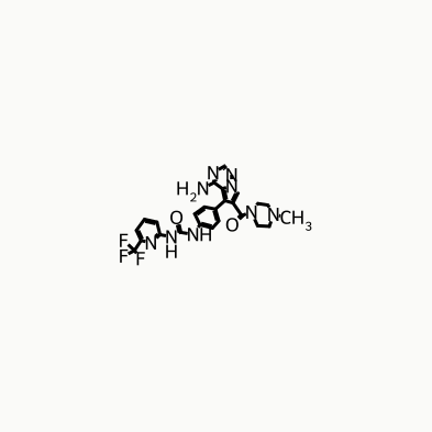 CN1CCN(C(=O)c2cn3ncnc(N)c3c2-c2ccc(NC(=O)Nc3cccc(C(F)(F)F)n3)cc2)CC1